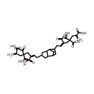 C=C(CC(CC(=CCC1CC2C3CC(CC=C(CC(CC(=C)C(=O)O)(C(=O)O)C(=O)O)C(=O)O)C(C3)C2C1)C(=O)O)(C(=O)O)C(=O)O)C(=O)O